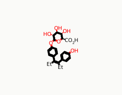 CCC(=C(CC)c1ccc(OC2O[C@H](C(=O)O)[C@@H](O)[C@H](O)[C@H]2O)cc1)c1ccc(O)cc1